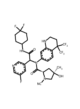 C[C@@]1(O)C[C@H](C(=O)N(c2ccc3c(c2)NCCC3(C(F)(F)F)C(F)(F)F)C(C(=O)NC2CCC(F)(F)CC2)c2cncc(F)c2)N(C#N)C1